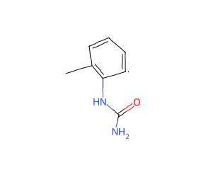 Cc1ccc[c]c1NC(N)=O